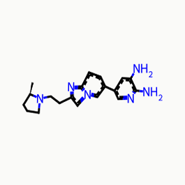 C[C@@H]1CCCN1CCc1cn2cc(-c3cnc(N)c(N)c3)ccc2n1